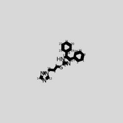 c1ccc(-c2nc(SCCCn3cncn3)[nH]c2-c2ccccc2)cc1